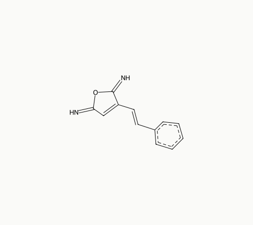 N=C1C=C(C=Cc2ccccc2)C(=N)O1